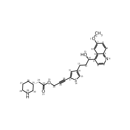 COc1ccc2nccc([C@H](O)CCc3csc(C#CCOC(=O)C[C@H]4CCCNC4)c3)c2c1